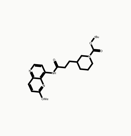 COc1ccc2nccc(NC(=O)CCC3CCCN(C(=O)OC(C)(C)C)C3)c2n1